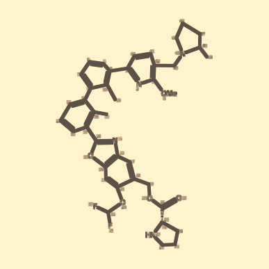 COc1nc(-c2cccc(-c3cccc(-c4nc5cc(COC(=O)[C@@H]6CCCN6)c(OC(F)F)cc5o4)c3C)c2C)ccc1CN1CCCC1C